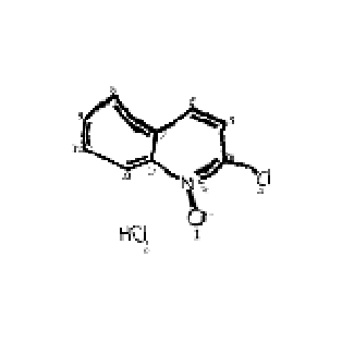 Cl.[O-][n+]1c(Cl)ccc2ccccc21